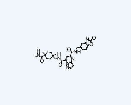 CNC(=O)C1(C)CCC(C)(CNC(=O)c2cc(C(=O)NCc3ccc4oc(=O)n(C)c4c3)nc3ccnn23)CC1